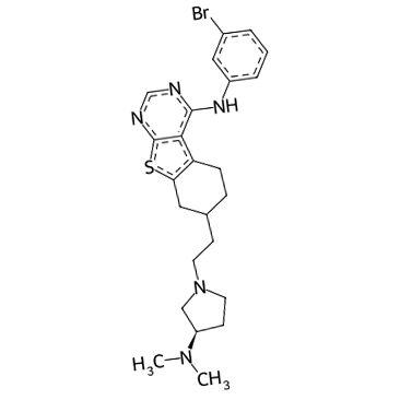 CN(C)[C@@H]1CCN(CCC2CCc3c(sc4ncnc(Nc5cccc(Br)c5)c34)C2)C1